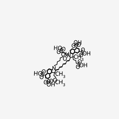 COCCC1(C)C(=CC=CC=CC=CC2N(CCCS(=O)(=O)O)c3ccc4c(S(=O)(=O)O)cc(S(=O)(=O)O)cc4c3C2(C)CCCS(=O)(=O)O)N(CCCCCC(=O)O)c2ccc3c(S(=O)(=O)O)cc(S(=O)(=O)O)cc3c21